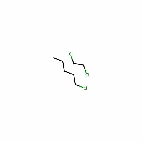 CCCCCCl.ClCCCl